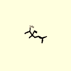 C=CC(C)(CC=C(C)C)C(C)SC